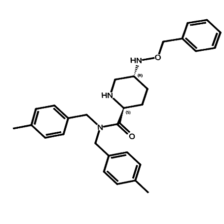 Cc1ccc(CN(Cc2ccc(C)cc2)C(=O)[C@@H]2CC[C@@H](NOCc3ccccc3)CN2)cc1